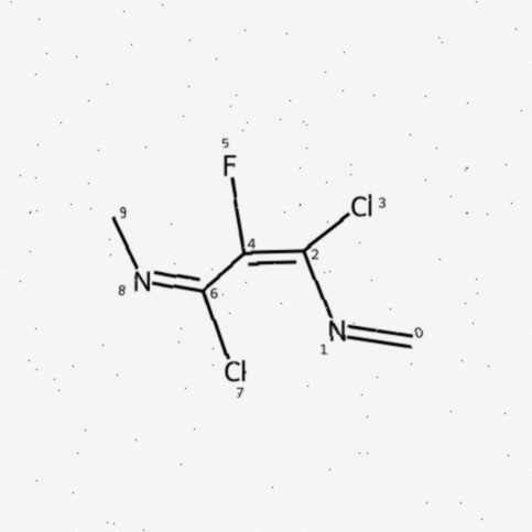 C=N/C(Cl)=C(F)\C(Cl)=N/C